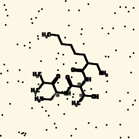 CCCCCCC(CN)C(=O)N[C@H](C(=O)N[C@H](CN)C(=O)C(C)C)[C@H](C)O